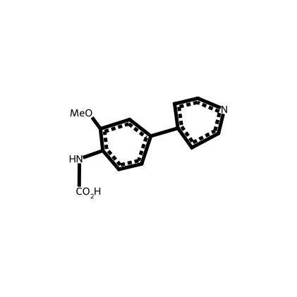 COc1cc(-c2ccncc2)ccc1NC(=O)O